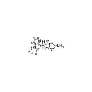 Cc1cnc(CNCc2ncccc2N2CCCCC2)c(C)c1